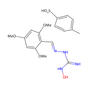 COc1cc(OC)c(C=NNC(=N)NO)c(OC)c1.Cc1ccc(S(=O)(=O)O)cc1